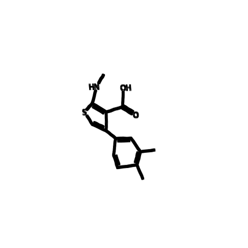 CNc1scc(-c2ccc(C)c(C)c2)c1C(=O)O